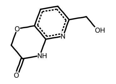 O=C1COc2ccc(CO)nc2N1